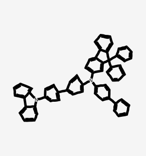 c1ccc(-c2ccc(N(c3ccc(-c4ccc(-n5c6ccccc6c6ccccc65)cc4)cc3)c3ccc4c(c3)C(c3ccccc3)(c3ccccc3)c3ccccc3-4)cc2)cc1